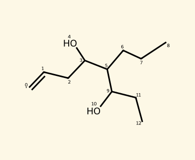 [CH]=CCC(O)C(CCC)C(O)CC